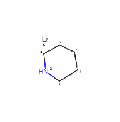 C1CCNCC1.[Li]